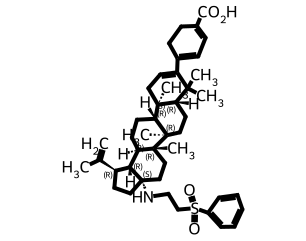 C=C(C)[C@@H]1CC[C@]2(NCCS(=O)(=O)c3ccccc3)CC[C@]3(C)[C@H](CC[C@@H]4[C@@]5(C)CC=C(C6=CC=C(C(=O)O)CC6)C(C)(C)[C@@H]5CC[C@]43C)[C@@H]12